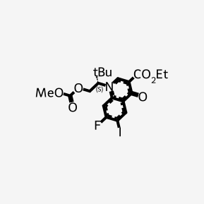 CCOC(=O)c1cn([C@H](COC(=O)OC)C(C)(C)C)c2cc(F)c(I)cc2c1=O